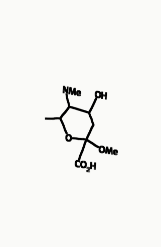 CNC1C(O)CC(OC)(C(=O)O)OC1C